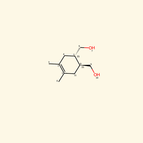 CC1=C(C)C[C@H](CO)[C@@H](CO)C1